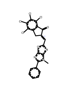 Cn1c(-c2ccccc2)nc2oc(/C=C3\Cc4c(Cl)c(Cl)c(Cl)c(Cl)c4C3=O)nc21